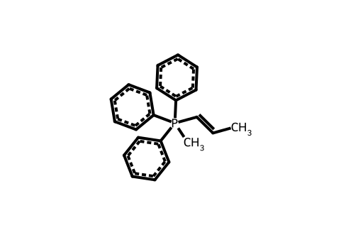 CC=CP(C)(c1ccccc1)(c1ccccc1)c1ccccc1